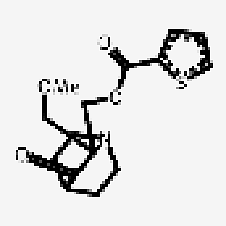 COCC1(COC(=O)c2cccs2)C(=O)C2CCN1CC2